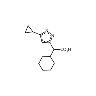 O=C(O)C(C1CCCCC1)n1cc(C2CC2)nn1